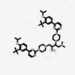 CC(C)Oc1ccc(-c2ccnc(N3CCN(CC(N)C(CN(C)C)N4CCN(c5nccc(-c6ccc(OC(C)C)c(C(C)(C)C)c6)n5)CC4)CC3)n2)cc1C(C)(C)C